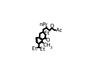 CCCC(CC1CC(=O)c2c(ccc(C(CC)CC)c2C)C1)C(CC)C(=O)CC(C)=O